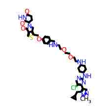 Cn1ncc(-c2nc(NC3CCC(NCCOCCOCCNCc4ccc(OCc5scc6c5CN(C5CCC(=O)NC5=O)C6=O)cc4)CC3)ncc2Cl)c1CC1CC1